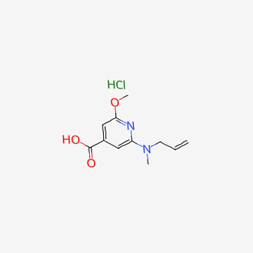 C=CCN(C)c1cc(C(=O)O)cc(OC)n1.Cl